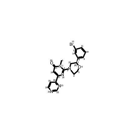 Cn1c(N2CCO[C@H](c3cccc(Br)c3)C2)nc(-c2ccncn2)cc1=O